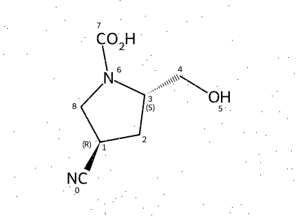 N#C[C@@H]1C[C@@H](CO)N(C(=O)O)C1